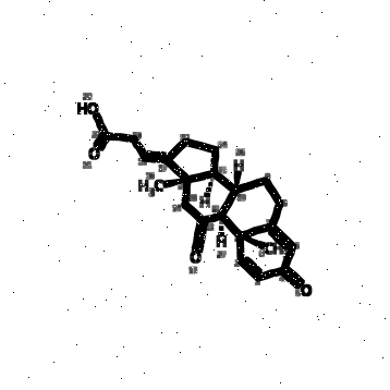 C[C@]12C=CC(=O)C=C1CC[C@@H]1[C@@H]2C(=O)C[C@]2(C)C(=CCC(=O)O)CC[C@@H]12